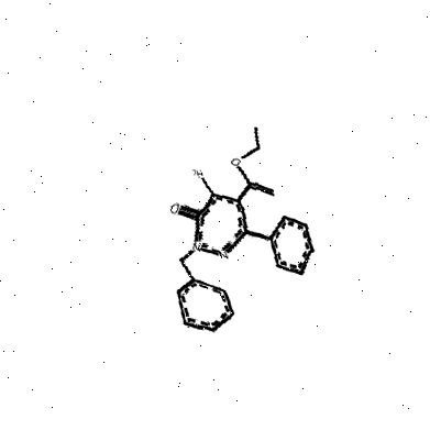 [2H]c1c(C(=C)OCC)c(-c2ccccc2)nn(Cc2ccccc2)c1=O